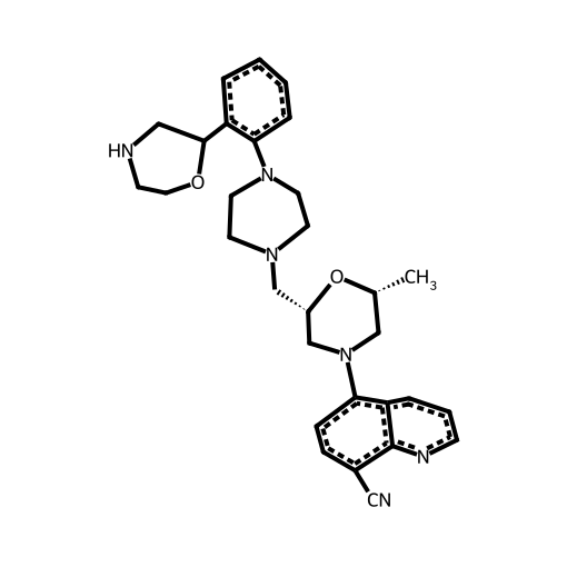 C[C@@H]1CN(c2ccc(C#N)c3ncccc23)C[C@H](CN2CCN(c3ccccc3C3CNCCO3)CC2)O1